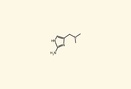 CN(C)Cc1c[nH]c(N)n1